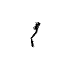 CCCCCCCCCCCCCCCC(=O)OCC(C)CCC